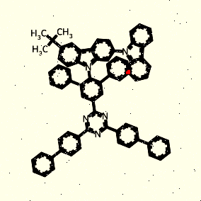 CC(C)(C)c1ccc2c(c1)c1ccc(-n3c4ccccc4c4ccccc43)cc1n2-c1c(-c2ccccc2)cc(-c2nc(-c3ccc(-c4ccccc4)cc3)nc(-c3ccc(-c4ccccc4)cc3)n2)cc1-c1ccccc1